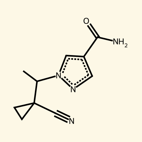 CC(n1cc(C(N)=O)cn1)C1(C#N)CC1